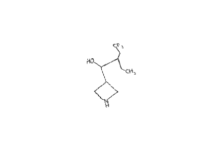 CC(C(O)C1CNC1)C(F)(F)F